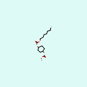 CC(C)CCCCCCOC(=O)OC1CCC(OC(=O)OC(C)C)CC1